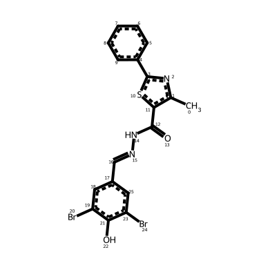 Cc1nc(-c2ccccc2)sc1C(=O)NN=Cc1cc(Br)c(O)c(Br)c1